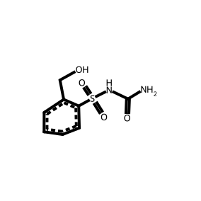 NC(=O)NS(=O)(=O)c1ccccc1CO